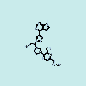 COCc1cnc(N2CCC(C(CC#N)n3cc(-c4ncnc5[nH]ccc45)cn3)C2)c(C#N)n1